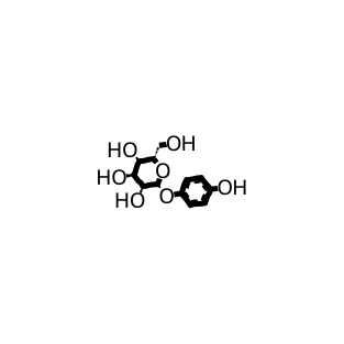 OC[C@@H]1O[C@H](Oc2ccc(O)cc2)[C@H](O)[C@@H](O)[C@@H]1O